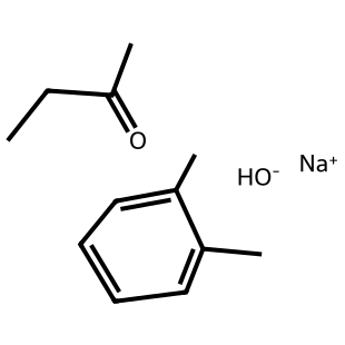 CCC(C)=O.Cc1ccccc1C.[Na+].[OH-]